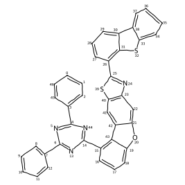 c1ccc(-c2nc(-c3ccccc3)nc(-c3cccc4oc5cc6nc(-c7cccc8c7sc7ccccc78)sc6cc5c34)n2)cc1